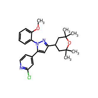 COc1ccccc1-n1nc(C2CC(C)(C)OC(C)(C)C2)cc1-c1ccnc(Cl)c1